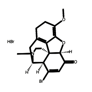 Br.COC1=C2O[C@H]3C(=O)C=C(Br)[C@H]4[C@H]5CC(=C2[C@@]34CCN5C)CC1